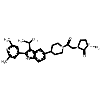 Cc1cc(-c2[nH]c3ccc(C4CCN(C(=O)CN5CC[C@H](N)C5=O)CC4)cc3c2C(C)C)cc(C)n1